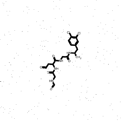 CC(Cc1ccc(Cl)c(Cl)c1)NC(=O)CNC(=O)C(CC=O)NC(=O)CNC=O